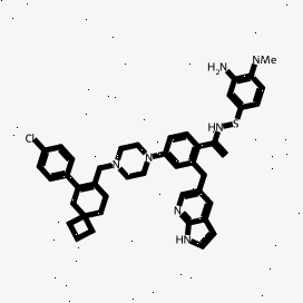 C=C(NSc1ccc(NC)c(N)c1)c1ccc(N2CCN(CC3=C(c4ccc(Cl)cc4)CC4(CCC4)CC3)CC2)cc1Cc1cnc2[nH]ccc2c1